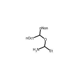 CCCCCCCCCC(CCCCCCCC)OC(N)CC